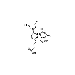 Nc1nc(=S)c2[nH]cnc2[nH]1.O=C(O)CCCc1ccc(N(CCCl)CCCl)cc1